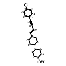 CCC[C@H]1CC[C@H](C2CCC(C=CC#Cc3ccc(Cl)cc3)CC2)CC1